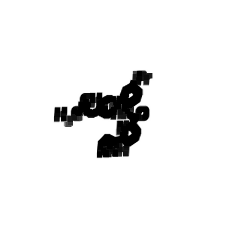 CC(C)c1ccc(NC(=O)c2cccc(-c3ccn[nH]3)n2)c(N2CCC(CN(C)C)CC2)c1